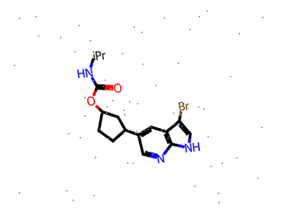 CC(C)NC(=O)OC1CCC(c2cnc3[nH]cc(Br)c3c2)C1